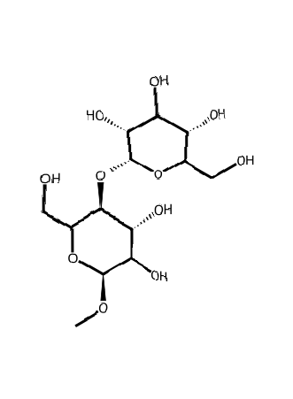 CO[C@H]1OC(CO)[C@@H](O[C@H]2OC(CO)[C@@H](O)C(O)[C@H]2O)[C@H](O)C1O